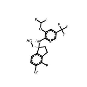 OC[C@]1(Nc2ncc(C(F)(F)F)cc2OC(F)F)CCc2c1ccc(Br)c2F